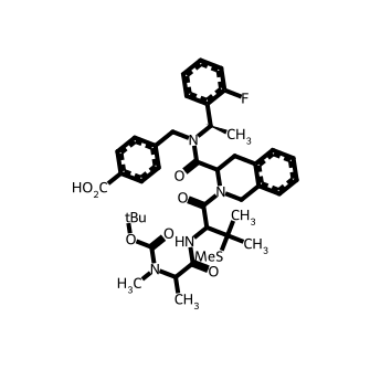 CSC(C)(C)C(NC(=O)C(C)N(C)C(=O)OC(C)(C)C)C(=O)N1Cc2ccccc2CC1C(=O)N(Cc1ccc(C(=O)O)cc1)[C@H](C)c1ccccc1F